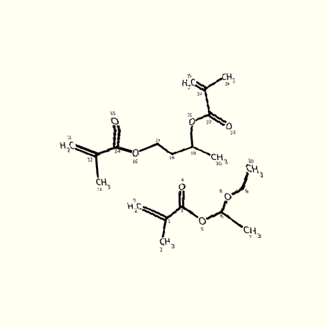 C=C(C)C(=O)OC(C)OCC.C=C(C)C(=O)OCCC(C)OC(=O)C(=C)C